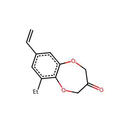 C=Cc1cc(CC)c2c(c1)OCC(=O)CO2